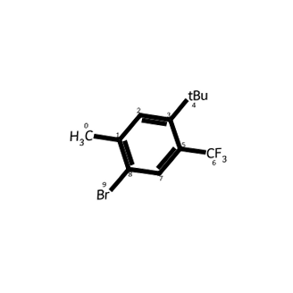 Cc1cc(C(C)(C)C)c(C(F)(F)F)cc1Br